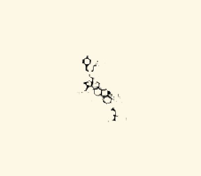 CC(C)C1=C2[C@H]3CC[C@H]4[C@@H](CC[C@H]5C(C)(C)[C@@H](OC(=O)CC(C)(C)C(=O)O)CC[C@]45C)[C@]3(C)CC[C@@]2([C@@H](O)CN(CCN(C)C)Cc2ccc(Cl)cc2)CC1=O